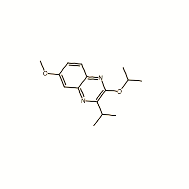 COc1ccc2nc(OC(C)C)c(C(C)C)nc2c1